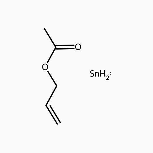 C=CCOC(C)=O.[SnH2]